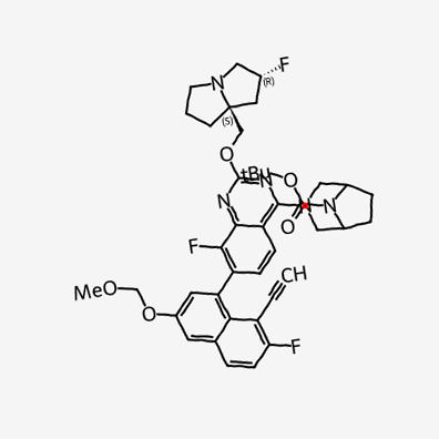 C#Cc1c(F)ccc2cc(OCOC)cc(-c3ccc4c(N5CC6CCC(C5)N6C(=O)OC(C)(C)C)nc(OC[C@@]56CCCN5C[C@H](F)C6)nc4c3F)c12